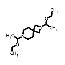 CCOC(C)N1CCC2(CC1)CN(C(C)OCC)C2